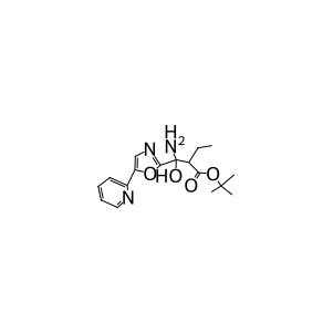 CCC(C(=O)OC(C)(C)C)C(N)(O)c1ncc(-c2ccccn2)o1